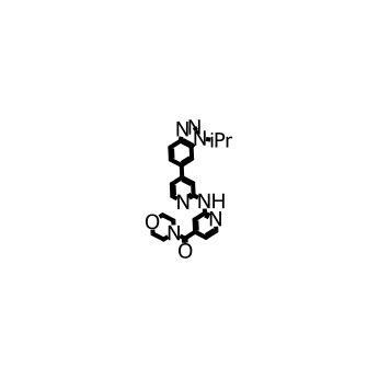 CC(C)n1nnc2ccc(-c3ccnc(Nc4cc(C(=O)N5CCOCC5)ccn4)c3)cc21